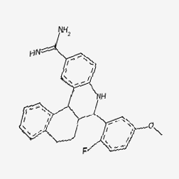 COc1ccc(F)c(C2Nc3ccc(C(=N)N)cc3C3c4ccccc4CCC23)c1